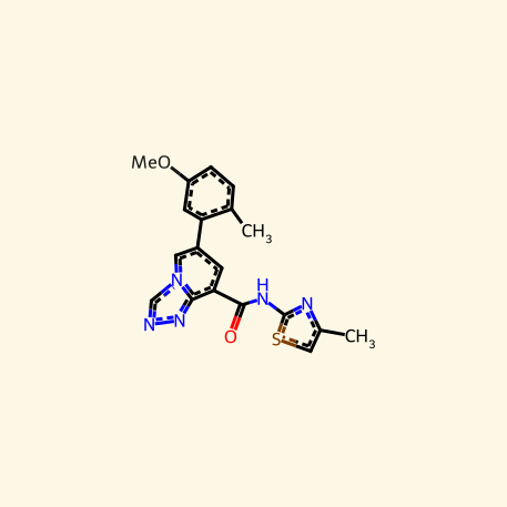 COc1ccc(C)c(-c2cc(C(=O)Nc3nc(C)cs3)c3nncn3c2)c1